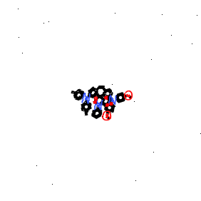 COc1ccc(N(c2ccc(OC)cc2)c2ccc3c(c2)C2(c4cc(N(c5ccc(C)cc5)c5ccc(C)cc5)ccc4C=C3)c3ccccc3N(c3ccccc3)c3ccccc32)cc1